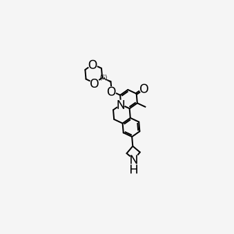 Cc1c2n(c(OC[C@@H]3COCCO3)cc1=O)CCc1cc(C3CNC3)ccc1-2